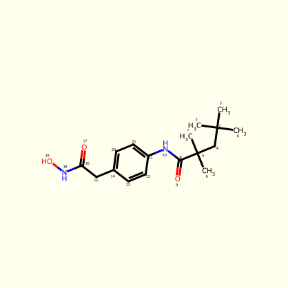 CC(C)(C)CC(C)(C)C(=O)Nc1ccc(CC(=O)NO)cc1